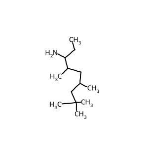 CCC(N)C(C)CC(C)CC(C)(C)C